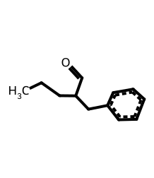 CCCC(C=O)Cc1ccccc1